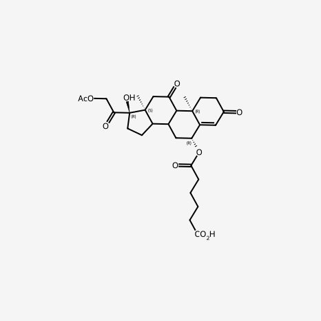 CC(=O)OCC(=O)[C@@]1(O)CCC2C3C[C@@H](OC(=O)CCCCC(=O)O)C4=CC(=O)CC[C@]4(C)C3C(=O)C[C@@]21C